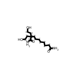 NC(=O)CCCCCCCC(CCO)(CCO)C(N)=O